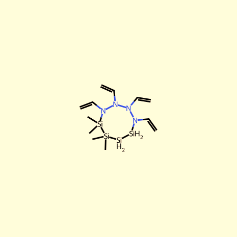 C=CN1[SiH2][SiH2][Si](C)(C)[Si](C)(C)N(C=C)N(C=C)N1C=C